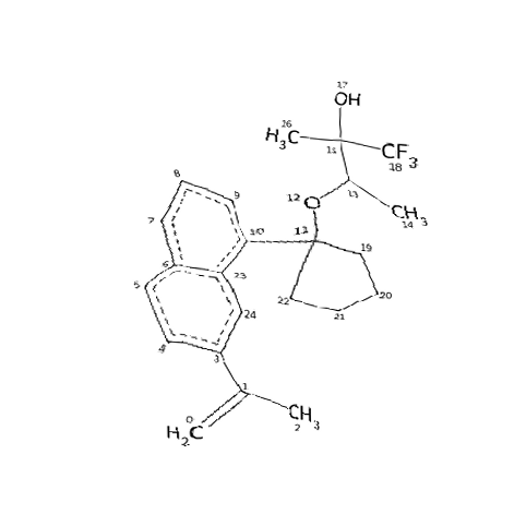 C=C(C)c1ccc2cccc(C3(OC(C)C(C)(O)C(F)(F)F)CCCC3)c2c1